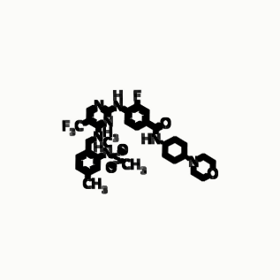 Cc1ccc(CNc2nc(Nc3ccc(C(=O)N[C@H]4CC[C@H](N5CCOCC5)CC4)cc3F)ncc2C(F)(F)F)c(N(C)S(C)(=O)=O)c1